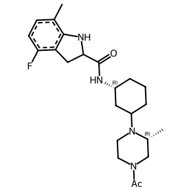 CC(=O)N1CCN(C2CCC[C@@H](NC(=O)C3Cc4c(F)ccc(C)c4N3)C2)[C@H](C)C1